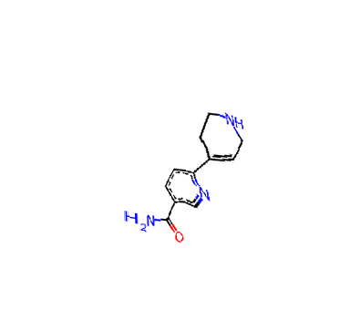 NC(=O)c1ccc(C2=CCNCC2)nc1